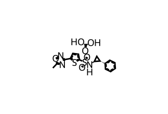 Cc1nc(-c2ccc(S(=O)(=O)N[C@H]3C[C@@H]3c3ccccc3)s2)no1.O=C(O)O